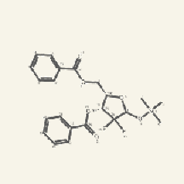 C[Si](C)(C)OC1O[C@H](COC(=O)c2ccccc2)[C@@H](OC(=O)c2ccccc2)C1(F)F